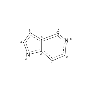 c1cc2nccc-2sn1